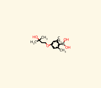 Cc1cc(OCCC(C)(C)O)cc(C)c1B(O)O